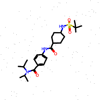 CC(C)N(C(=O)c1ccc(NC(=O)C2CCC(NS(=O)(=O)C(C)(C)C)CC2)cc1)C(C)C